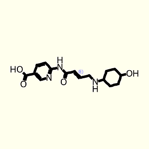 O=C(/C=C/CNC1CCC(O)CC1)Nc1ccc(C(=O)O)cn1